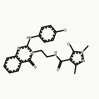 Cc1nn(C)c(Cl)c1C(=O)NCCn1c(Nc2ccc(Cl)cc2)nc2ccccc2c1=O